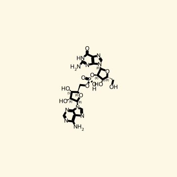 Nc1nc2c(ncn2[C@@H]2O[C@H](CO)[C@H](O)[C@H]2OP(=O)(O)OC[C@H]2O[C@@H](n3cnc4c(N)ncnc43)[C@H](O)[C@@H]2O)c(=O)[nH]1